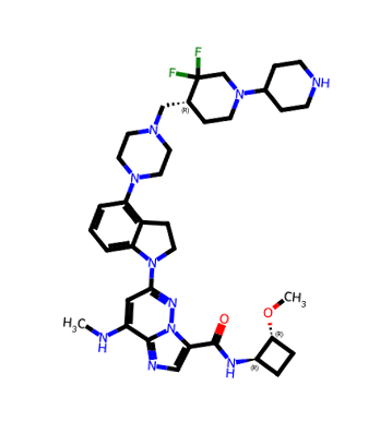 CNc1cc(N2CCc3c(N4CCN(C[C@H]5CCN(C6CCNCC6)CC5(F)F)CC4)cccc32)nn2c(C(=O)N[C@@H]3CC[C@H]3OC)cnc12